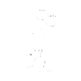 C=Cc1c(/C=C(\C)Cl)[nH]n([C@H](C)[C@H]2CC[C@@H](c3ccnc4ccc(F)cc43)CC2)c1=O